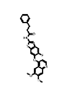 COc1cc2nccc(Oc3cc4sc(NC(=O)CCc5ccccc5)nc4cc3F)c2cc1OC